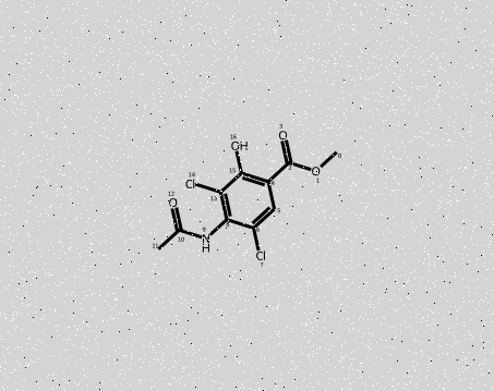 COC(=O)c1cc(Cl)c(NC(C)=O)c(Cl)c1O